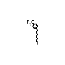 FC(F)(F)c1ccc(CCCCCCI)cc1